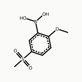 COc1ccc(S(C)(=O)=O)cc1B(O)O